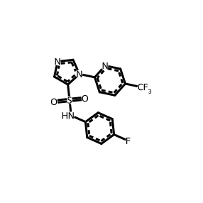 O=S(=O)(Nc1ccc(F)cc1)c1cncn1-c1ccc(C(F)(F)F)cn1